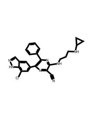 N#Cc1nc(-c2cc(Cl)c3[nH]ncc3c2)c(-c2ccccc2)nc1NCCCNC1CC1